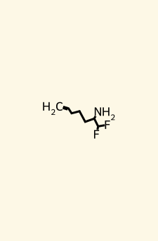 C=CCCCC(N)C(F)F